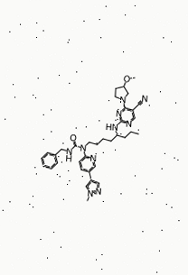 CCCC(CCCCN(C(=O)NCc1ccccc1)c1ccc(-c2cnn(C)c2)cn1)Nc1ncc(C#N)c(N2CCC(OC)C2)n1